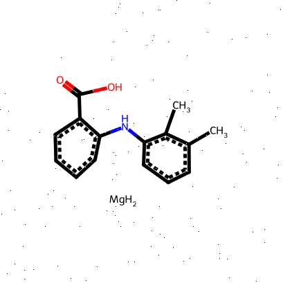 Cc1cccc(Nc2ccccc2C(=O)O)c1C.[MgH2]